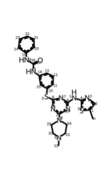 Cc1cnc(Nc2nc(Sc3cccc(NC(=O)Nc4ccccc4)c3)nc(N3CCN(C)CC3)n2)s1